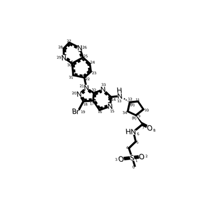 CS(=O)(=O)CCNC(=O)[C@@H]1CC[C@@H](Nc2ncc3c(Br)nn(-c4ccc5nccnc5c4)c3n2)C1